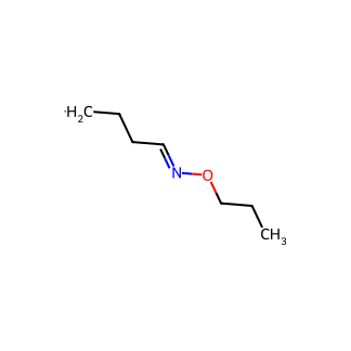 [CH2]CCC=NOCCC